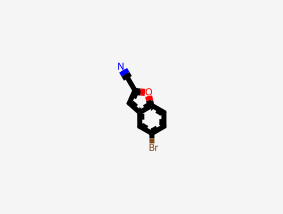 N#Cc1cc2cc(Br)ccc2o1